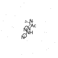 CC(=O)/C(=C(/C1CC1)N(C)C)c1ccnc(Nc2ccncc2)n1